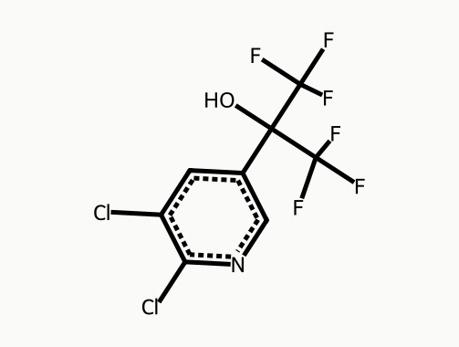 OC(c1cnc(Cl)c(Cl)c1)(C(F)(F)F)C(F)(F)F